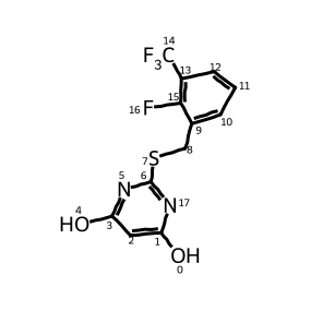 Oc1cc(O)nc(SCc2cccc(C(F)(F)F)c2F)n1